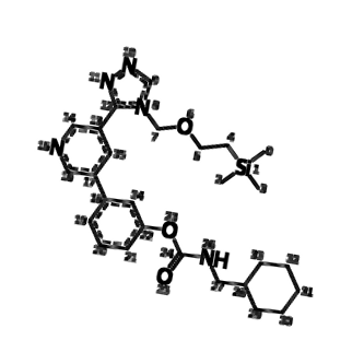 C[Si](C)(C)CCOCn1cnnc1-c1cncc(-c2cccc(OC(=O)NCC3CCCCC3)c2)c1